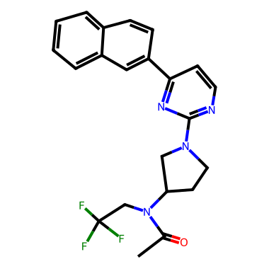 CC(=O)N(CC(F)(F)F)C1CCN(c2nccc(-c3ccc4ccccc4c3)n2)C1